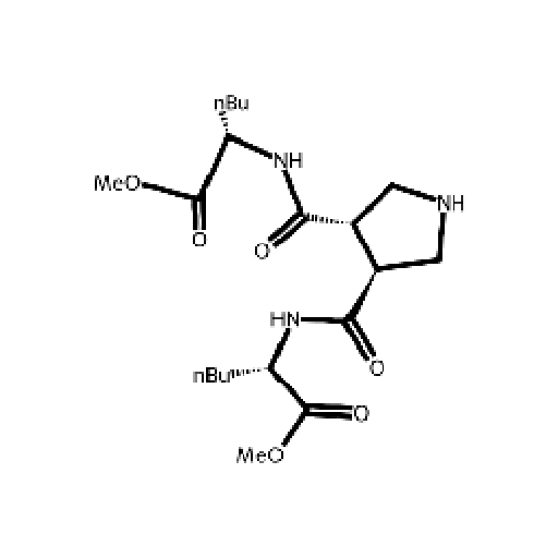 CCCC[C@H](NC(=O)[C@@H]1CNC[C@H]1C(=O)N[C@@H](CCCC)C(=O)OC)C(=O)OC